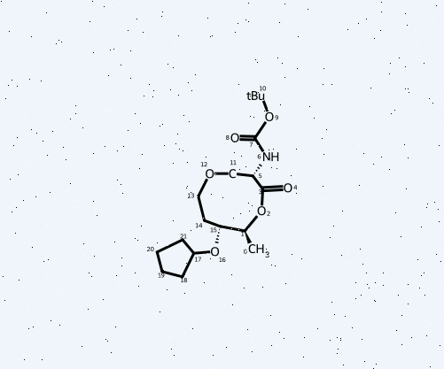 C[C@@H]1OC(=O)[C@@H](NC(=O)OC(C)(C)C)COCC[C@H]1OC1CCCC1